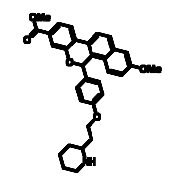 COC(=O)c1ccc2c(c1)OC(c1ccc(OCCC3CCCCN3)cc1)c1c-2ccc2cc(OC)ccc12